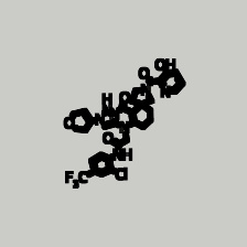 O=C(CN1C2=CN(C3=CCOCC3)NN2C(=O)C2=C1CCCC21CCN(C(=O)c2ncccc2O)C1)Nc1ccc(C(F)(F)F)cc1Cl